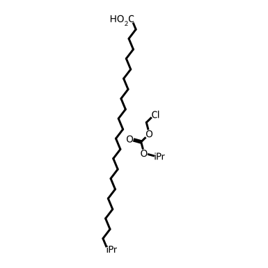 CC(C)CCCCCCCCCCCCCCCCCCCCCCC(=O)O.CC(C)OC(=O)OCCl